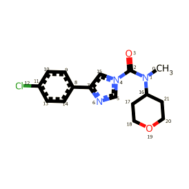 CN(C(=O)n1cnc(-c2ccc(Cl)cc2)c1)C1CCOCC1